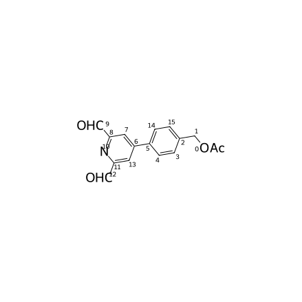 CC(=O)OCc1ccc(-c2cc(C=O)nc(C=O)c2)cc1